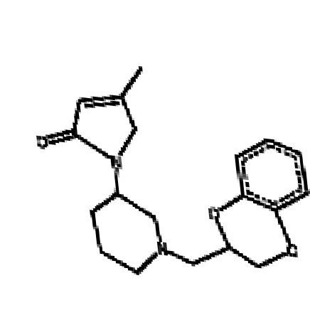 CC1=CC(=O)N(C2CCCN(CC3COc4ccccc4O3)C2)C1